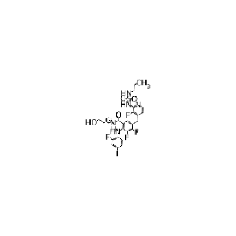 CCCNS(=O)(=O)Nc1nccc(Cc2cc(C(=O)NOCCO)c(Nc3ccc(I)cc3F)c(F)c2F)c1F